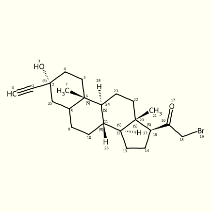 C#C[C@@]1(O)CC[C@@]2(C)C(CC[C@H]3[C@@H]4CC[C@H](C(=O)CBr)[C@@]4(C)CC[C@@H]32)C1